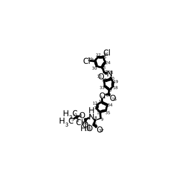 CC(C)(C)OC(=O)N[C@@H](Cc1ccc(OC(=O)c2ccc3nc(-c4cc(Cl)cc(Cl)c4)oc3c2)cc1)C(=O)O